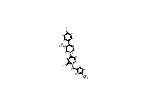 O=c1nc(N2CC=C(c3ccc(F)cc3)[C@@H](O)C2)cnn1Cc1ccc(C(F)(F)F)s1